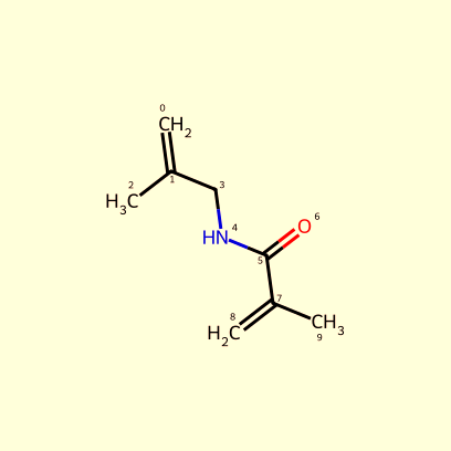 C=C(C)CNC(=O)C(=C)C